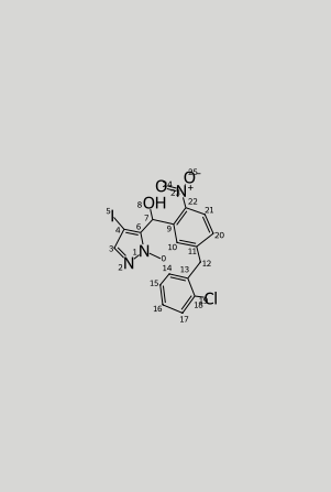 Cn1ncc(I)c1C(O)c1cc(Cc2ccccc2Cl)ccc1[N+](=O)[O-]